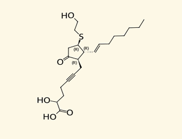 CCCCCCC=C[C@H]1[C@H](SCCO)CC(=O)[C@@H]1CC#CCCC(O)C(=O)O